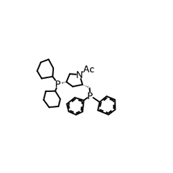 CC(=O)N1C[C@@H](P(C2CCCCC2)C2CCCCC2)C[C@H]1CP(c1ccccc1)c1ccccc1